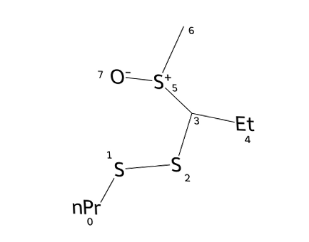 CCCSSC(CC)[S+](C)[O-]